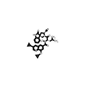 CC(C)C[C@@H](C(=O)N1C[C@]2(C[C@H]1C#N)C(=O)Nc1ccccc12)N(C)C(=O)c1cc(OC2CC2)c2ncc(C3CC3)cc2c1